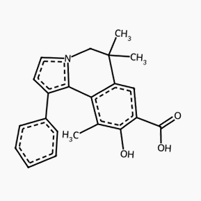 Cc1c(O)c(C(=O)O)cc2c1-c1c(-c3ccccc3)ccn1CC2(C)C